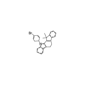 CC1(C)C2=C(CCc3c2n(C2C=CC(Br)=CC2)c2ccccc32)c2ccccc21